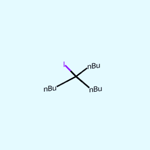 CCCCC(I)(CCCC)CCCC